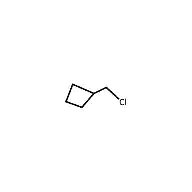 ClCC1CCC1